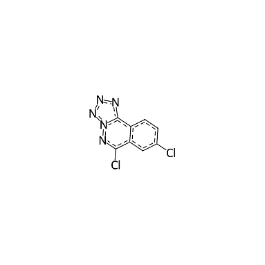 Clc1ccc2c(c1)c(Cl)nn1nnnc21